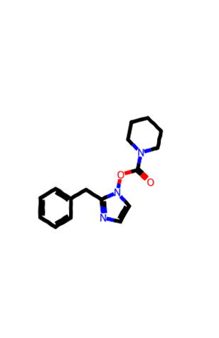 O=C(On1ccnc1Cc1ccccc1)N1CCCCC1